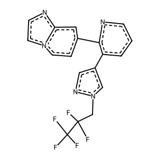 FC(F)(F)C(F)(F)Cn1cc(-c2cccnc2-c2ccn3ccnc3c2)cn1